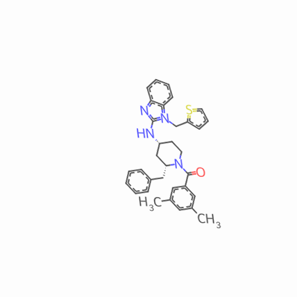 Cc1cc(C)cc(C(=O)N2CC[C@@H](Nc3nc4ccccc4n3Cc3cccs3)C[C@H]2Cc2ccccc2)c1